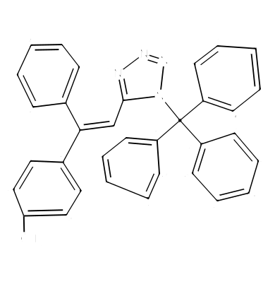 Cc1ccc(C(=Cc2nnnn2C(c2ccccc2)(c2ccccc2)c2ccccc2)c2ccccc2)cc1